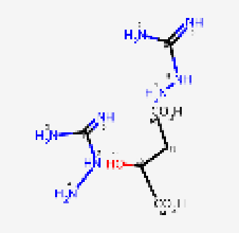 N=C(N)NN.N=C(N)NN.O=C(O)CC(O)C(=O)O